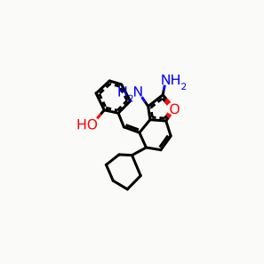 Nc1oc2c(c1N)C(=Cc1ccccc1O)C(C1CCCCC1)C=C2